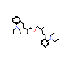 CCN(CC)c1ccccc1CCC(C)COCC(C)CCc1ccccc1N(CC)CC